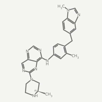 Cc1cc(Nc2ncnc3cnc(N4CCN[C@H](C)C4)nc23)ccc1Cc1ccc2c(c1)ncn2C